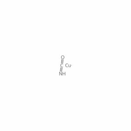 N=C=O.[Cu]